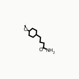 COC1CCC(CCCC(N)=O)CC1